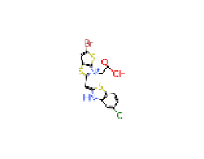 O=C(O)C[n+]1c(/C=C2/Nc3cc(Cl)ccc3S2)sc2cc(Br)sc21